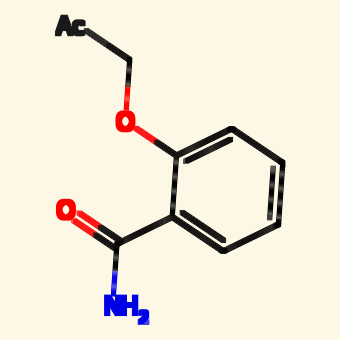 CC(=O)COc1ccccc1C(N)=O